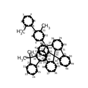 Cc1ccccc1-c1ccc(N(c2ccc3c(c2)C(C)(C)c2ccccc2-3)c2cccc3c2C2(c4ccccc4-c4ccccc42)c2ccccc2-3)cc1C